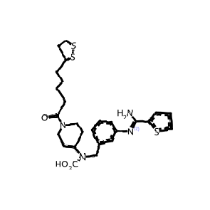 N/C(=N\c1cccc(CN(C(=O)O)C2CCN(C(=O)CCCCC3CCSS3)CC2)c1)c1cccs1